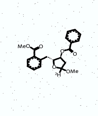 [2H]C1(OC)C[C@H](OC(=O)c2ccccc2)[C@@H](Cc2ccccc2C(=O)OC)O1